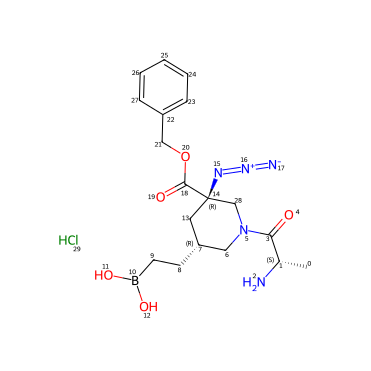 C[C@H](N)C(=O)N1C[C@H](CCB(O)O)C[C@](N=[N+]=[N-])(C(=O)OCc2ccccc2)C1.Cl